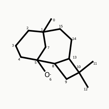 CC12CCCC([O])(C1)C1CC(C)(C)C1CC2